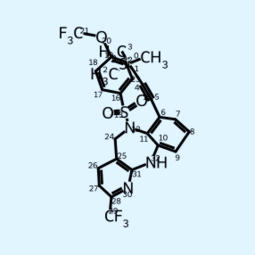 C[Si](C)(C)C#Cc1cccc2c1N(S(=O)(=O)c1ccc(OC(F)(F)F)cc1)Cc1ccc(C(F)(F)F)nc1N2